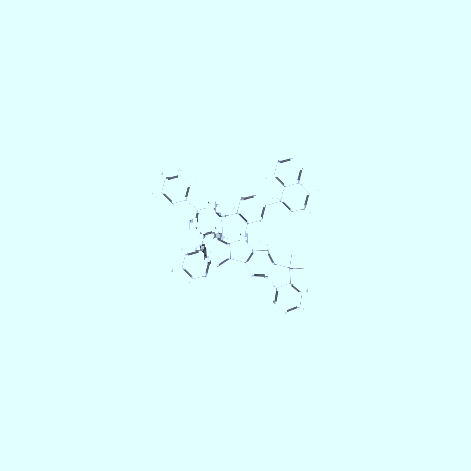 CC1(C)c2ccccc2-c2cc3c4ccccc4n(-c4cc(-c5cccc6ccccc56)ccc4-c4nc(-c5ccccc5)nc(-c5ccccc5)n4)c3cc21